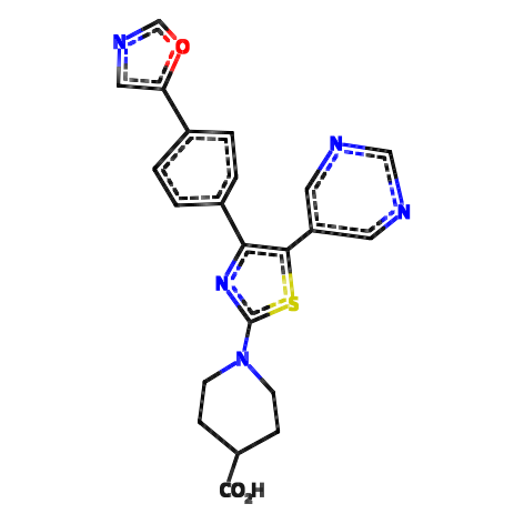 O=C(O)C1CCN(c2nc(-c3ccc(-c4cnco4)cc3)c(-c3cncnc3)s2)CC1